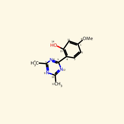 COc1ccc(-c2nc(C)nc(C)n2)c(O)c1